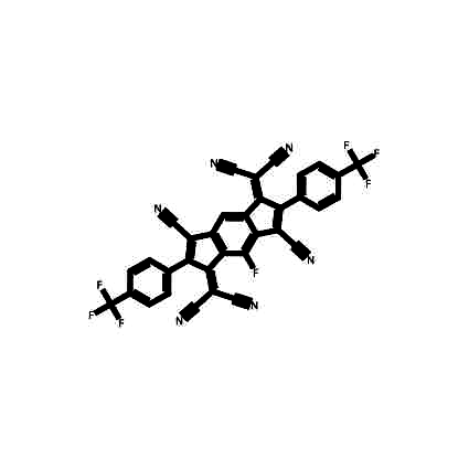 N#CC(C#N)=C1C(c2ccc(C(F)(F)F)cc2)=C(C#N)c2c1cc1c(c2F)C(=C(C#N)C#N)C(c2ccc(C(F)(F)F)cc2)=C1C#N